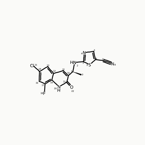 C[C@H](Nc1ncc(C#N)s1)c1cc2cc(Cl)cc(F)c2[nH]c1=O